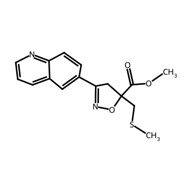 COC(=O)C1(CSC)CC(c2ccc3ncccc3c2)=NO1